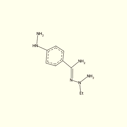 CCN(N)/N=C(\N)c1ccc(NN)cc1